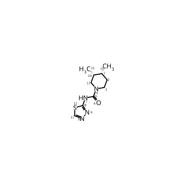 C[C@@H]1CCN(C(=O)Nc2nncs2)C[C@@H]1C